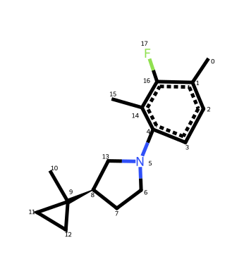 Cc1ccc(N2CC[C@@H](C3(C)CC3)C2)c(C)c1F